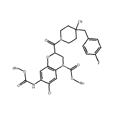 CC(C)(C)OC(=O)Nc1cc2c(cc1Cl)N(C(=O)OC(C)(C)C)CC(C(=O)N1CCC(C#N)(Cc3ccc(F)cc3)CC1)O2